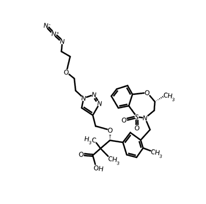 Cc1ccc([C@@H](OCc2cn(CCOCCN=[N+]=[N-])nn2)C(C)(C)C(=O)O)cc1CN1C[C@@H](C)Oc2ccccc2S1(=O)=O